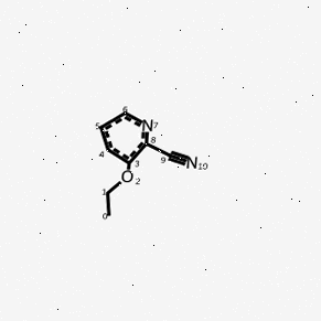 CCOc1cccnc1C#N